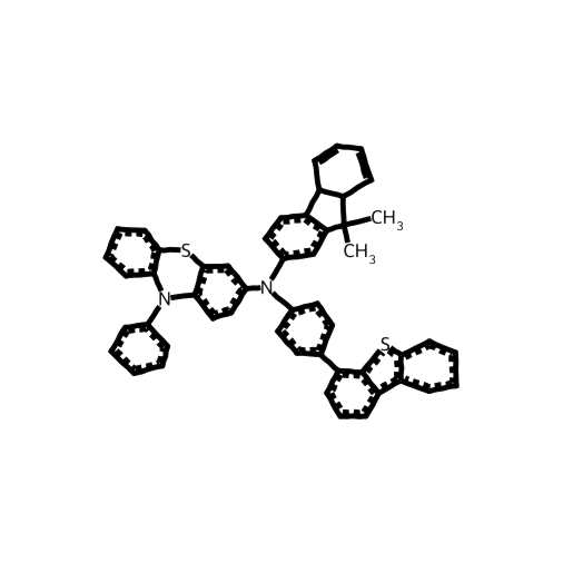 CC1(C)c2cc(N(c3ccc(-c4cccc5c4sc4ccccc45)cc3)c3ccc4c(c3)Sc3ccccc3N4c3ccccc3)ccc2C2C=CC=CC21